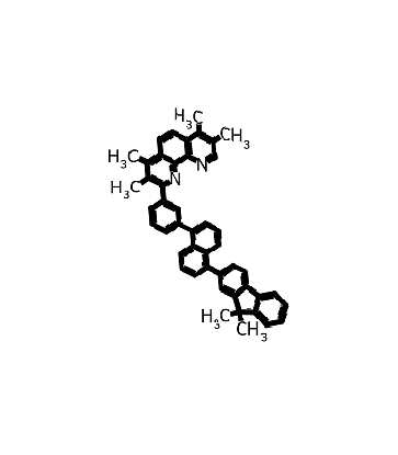 Cc1cnc2c(ccc3c(C)c(C)c(-c4cccc(-c5cccc6c(-c7ccc8c(c7)C(C)(C)c7ccccc7-8)cccc56)c4)nc32)c1C